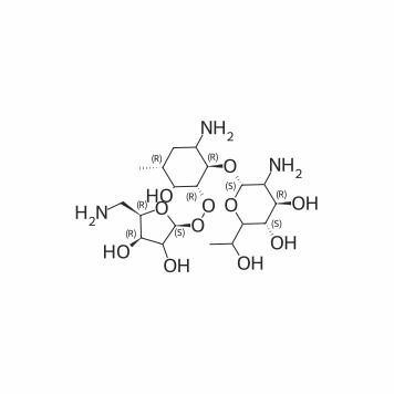 CC(O)C1O[C@H](O[C@@H]2C(N)C[C@@H](C)C(O)[C@H]2OO[C@@H]2O[C@H](CN)[C@H](O)C2O)C(N)[C@@H](O)[C@@H]1O